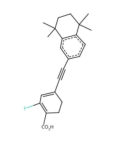 CC1(C)CCC(C)(C)c2cc(C#CC3=CC(F)=C(C(=O)O)CC3)ccc21